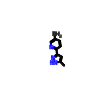 Bc1ccc(-c2cc(C)[nH]n2)nc1